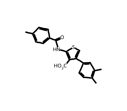 Cc1ccc(C(=O)Nc2scc(-c3ccc(C)c(C)c3)c2C(=O)O)cc1